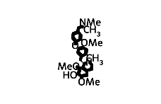 CN[C@H](C)Cc1ccc(Oc2cc(C[C@H]3c4c(cc(OC)c(O)c4OC)CCN3C)ccc2OC)cc1